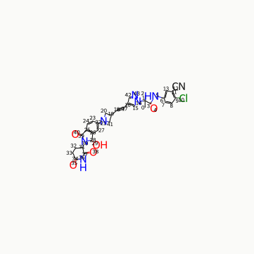 CC(C)(C(=O)Nc1ccc(Cl)c(C#N)c1)n1cc(C#CC2CN(c3ccc4c(c3)C(O)N(C3CCC(=O)NC3=O)C4=O)C2)cn1